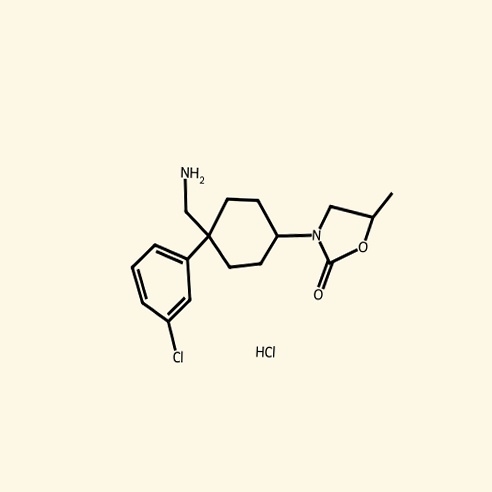 CC1CN(C2CCC(CN)(c3cccc(Cl)c3)CC2)C(=O)O1.Cl